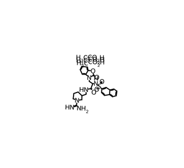 CC(=O)O.CC(=O)O.CC(=O)O.N=C(N)N1CCCC(CNC(=O)C(Cn2c(=O)oc3ccccc32)NS(=O)(=O)c2ccc3ccccc3c2)C1